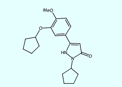 COc1ccc(-c2cc(=O)n(C3CCCC3)[nH]2)cc1OC1CCCC1